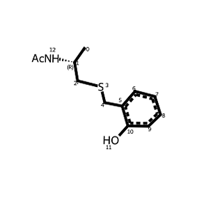 [CH2][C@H]([CH]SCc1ccccc1O)NC(C)=O